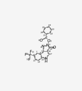 O=C(On1nc2c3cc(C(F)(F)F)ccc3[nH]cc-2c1=O)c1ccccc1